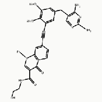 CCn1cc(C(=O)NCCO)c(=O)c2ccc(C#Cc3cc(Cc4cnc(N)nc4N)cc(OC)c3OC)cc21